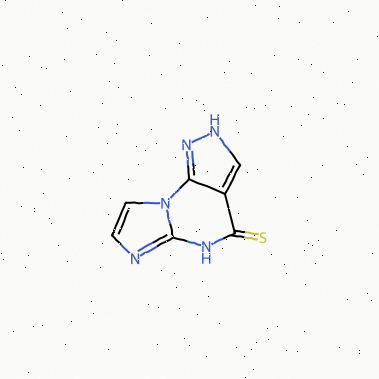 S=c1[nH]c2nccn2c2n[nH]cc12